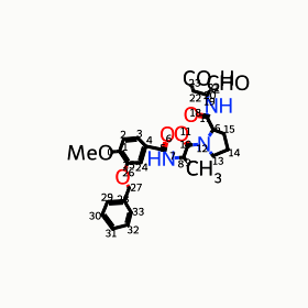 COc1ccc(C(=O)NC(C)C(=O)N2CCCC2C(=O)NC(C=O)CC(=O)O)cc1OCc1ccccc1